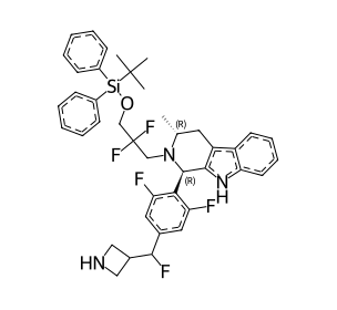 C[C@@H]1Cc2c([nH]c3ccccc23)[C@@H](c2c(F)cc(C(F)C3CNC3)cc2F)N1CC(F)(F)CO[Si](c1ccccc1)(c1ccccc1)C(C)(C)C